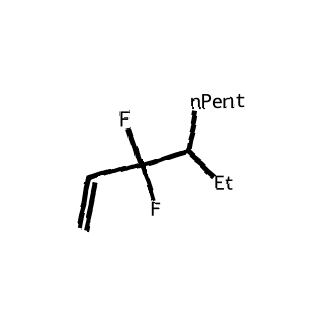 C=CC(F)(F)C(CC)CCCCC